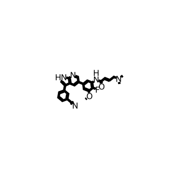 COc1cc(-c2cnc3[nH]cc(-c4cccc(C#N)c4)c3c2)cc(NC(=O)/C=C/CN(C)C)c1F